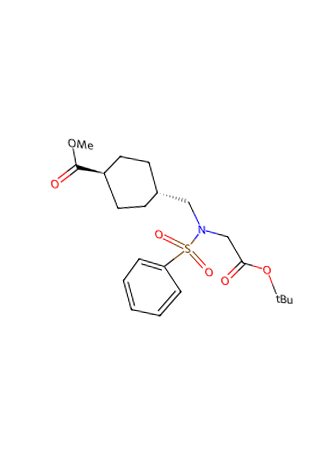 COC(=O)[C@H]1CC[C@H](CN(CC(=O)OC(C)(C)C)S(=O)(=O)c2ccccc2)CC1